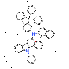 c1ccc(-c2c(N(c3ccc4c(c3)C(c3ccccc3)(c3ccccc3)c3ccccc3-4)c3ccc4c(c3)c3ccccc3n4-c3ccccc3)ccc3ccccc23)cc1